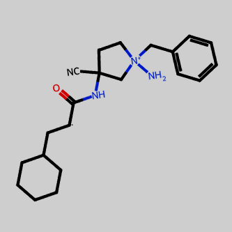 N#CC1(NC(=O)[CH]CC2CCCCC2)CC[N+](N)(Cc2ccccc2)C1